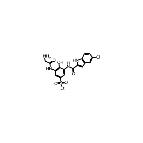 CCS(=O)(=O)c1cc(NC(=O)CN)c(O)c(NC(=O)c2cc3cc(Cl)ccc3[nH]2)c1